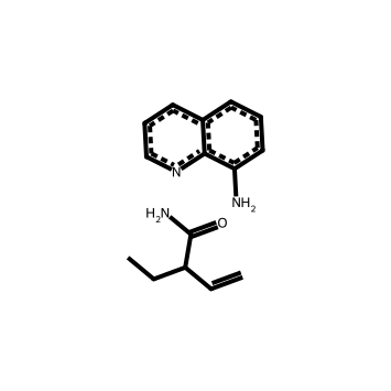 C=CC(CC)C(N)=O.Nc1cccc2cccnc12